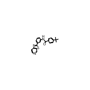 CC(C)(C)c1ccc(C(=O)Nc2cccc(-c3nc4ccncc4s3)c2)cc1